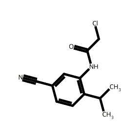 CC(C)c1ccc(C#N)cc1NC(=O)CCl